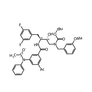 COc1cccc(CN(C[C@@H](O)[C@H](Cc2cc(F)cc(F)c2)NC(=O)c2cc(C(C)=O)cc(N(c3ccccc3)[S+](C)[O-])c2)C(=O)OC(C)(C)C)c1